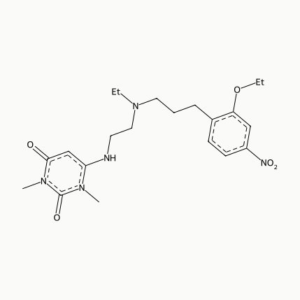 CCOc1cc([N+](=O)[O-])ccc1CCCN(CC)CCNc1cc(=O)n(C)c(=O)n1C